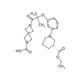 CCOC(=O)[C@@H]1CCCN(c2cccc(OC(C)(C)C(=O)N3CC4(CN(C(=O)O)C4)C3)c2)C1